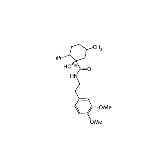 COc1ccc(CCNC(=O)[C@@]2(O)CC(C)CCC2C(C)C)cc1OC